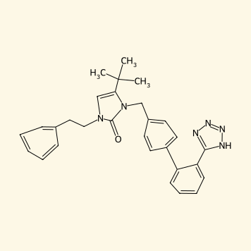 CC(C)(C)c1cn(CCc2ccccc2)c(=O)n1Cc1ccc(-c2ccccc2-c2nnn[nH]2)cc1